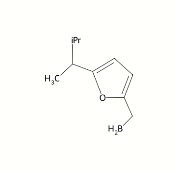 BCc1ccc(C(C)C(C)C)o1